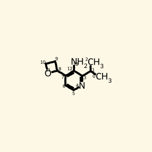 CC(C)c1nccc(C2CCO2)c1N